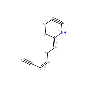 C#C/C=C\C/C=C1\CCC#CN1